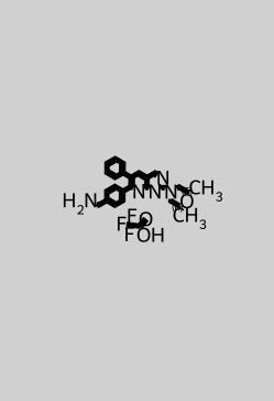 C[C@@H]1CN(c2ncc3cc(-c4ccccc4)c(-c4ccc(CN)cc4)nc3n2)C[C@H](C)O1.O=C(O)C(F)(F)F